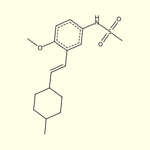 COc1ccc(NS(C)(=O)=O)cc1/C=C/C1CCC(C)CC1